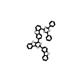 c1ccc(-c2nc(-c3ccccc3)nc(-c3cccc4sc5cc(-c6nc(-c7ccc8oc9ccccc9c8c7)nc7c6oc6ccccc67)ccc5c34)n2)cc1